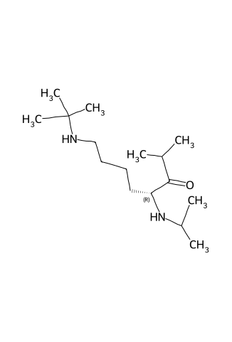 CC(C)N[C@H](CCCCNC(C)(C)C)C(=O)C(C)C